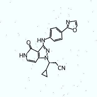 N#CC[C@@H](C1CC1)n1nc(Nc2ccc(-c3ncco3)cc2)c2c(=O)[nH]ccc21